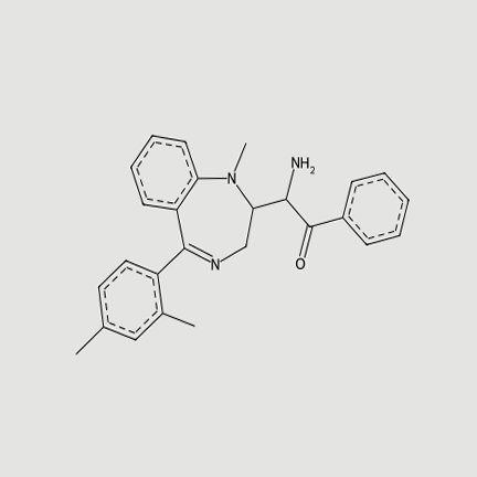 Cc1ccc(C2=NCC(C(N)C(=O)c3ccccc3)N(C)c3ccccc32)c(C)c1